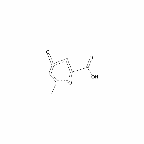 Cc1cc(=O)cc(C(=O)O)o1